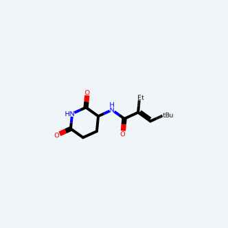 CC/C(=C\C(C)(C)C)C(=O)NC1CCC(=O)NC1=O